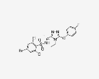 CCn1c(Oc2ccc(F)cc2)nnc1[C@@H](C)NS(=O)(=O)c1c(Cl)cc(Br)cc1Cl